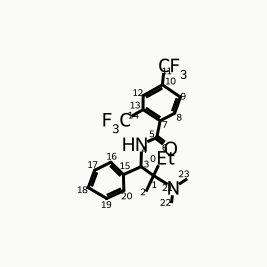 CCC(C)(C(NC(=O)c1ccc(C(F)(F)F)cc1C(F)(F)F)c1ccccc1)N(C)C